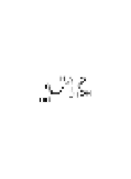 N[C@](O)(CCC(=O)O)C(=O)O